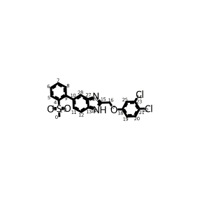 CS(=O)(=O)c1ccccc1-c1ccc2[nH]c(COc3ccc(Cl)c(Cl)c3)nc2c1